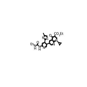 CCNC(=O)Nc1cc(-c2nc(C)cs2)c(-c2cnc3c(c2)c(=O)c(C(=O)OCC)cn3C2CC2)cn1